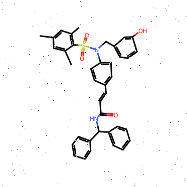 Cc1cc(C)c(S(=O)(=O)N(Cc2cccc(O)c2)c2ccc(C=CC(=O)NC(c3ccccc3)c3ccccc3)cc2)c(C)c1